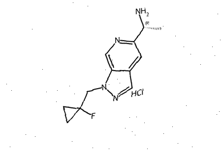 C[C@@H](N)c1cc2cnn(CC3(F)CC3)c2cn1.Cl